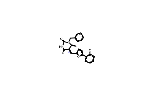 O=C1NC(=O)N(Cc2ccccc2)C(=O)/C1=C\c1ccc(-c2ccccc2Cl)o1